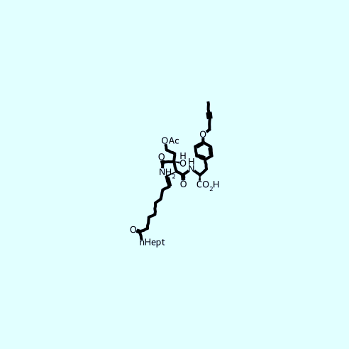 CC#CCOc1ccc(C[C@H](NC(=O)[C@@H](C=CCCCCCCC(=O)CCCCCCC)[C@@](O)(CCOC(C)=O)C(N)=O)C(=O)O)cc1